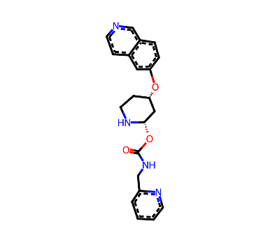 O=C(NCc1ccccn1)O[C@H]1C[C@@H](Oc2ccc3cnccc3c2)CCN1